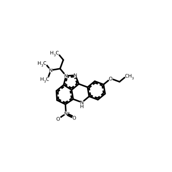 CCOc1ccc2c(c1)-c1nn(C(CC)N(C)C)c3ccc([N+](=O)[O-])c(c13)N2